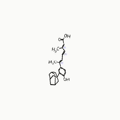 CC(/C=C/C=C(\C)c1ccc(O)c(C23CC4CC(CC(C4)C2)C3)c1)=C\C(=O)O